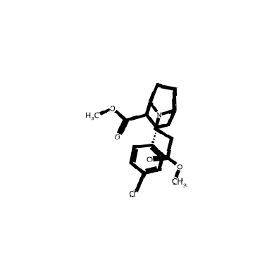 COC(=O)CCN1C2CCC1C(C(=O)OC)[C@@H](c1ccc(Cl)cc1)C2